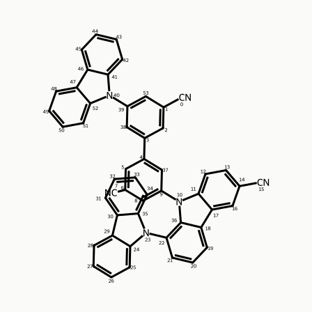 N#Cc1cc(-c2cc(C#N)cc(-n3c4ccc(C#N)cc4c4cccc(-n5c6ccccc6c6ccccc65)c43)c2)cc(-n2c3ccccc3c3ccccc32)c1